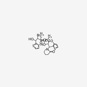 CC1(C)Oc2ccsc2C(N2CCCCC2=O)C1O.CC1(C)Oc2ccsc2C(O)C1Br